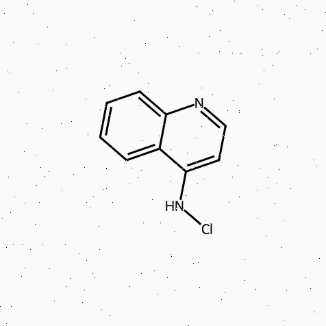 ClNc1ccnc2ccccc12